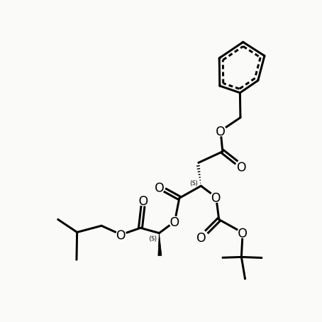 CC(C)COC(=O)[C@H](C)OC(=O)[C@H](CC(=O)OCc1ccccc1)OC(=O)OC(C)(C)C